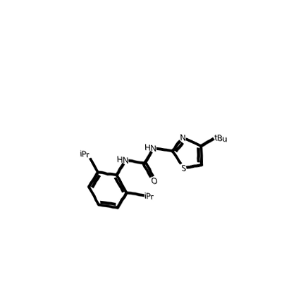 CC(C)c1cccc(C(C)C)c1NC(=O)Nc1nc(C(C)(C)C)cs1